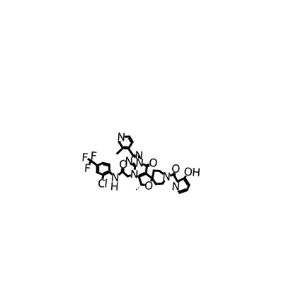 Cc1cnccc1-c1nc2n(CC(=O)Nc3ccc(C(F)(F)F)cc3Cl)c3c(c(=O)n2n1)C1(CCN(C(=O)c2ncccc2O)CC1)O[C@@H]3C